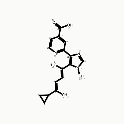 C/C(=C\C=C(/C)C1CC1)c1c(-c2cc(C(=O)O)ccn2)ncn1C